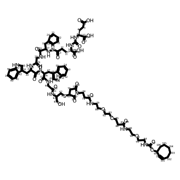 O=C(O)CC[C@H](NC(=O)N[C@@H](CCC(=O)NNC(Cc1ccccc1)C(=O)NCC(=O)NC(Cc1c[nH]c2ccccc12)C(=O)NC(Cc1c[nH]c2ccccc12)C(=O)NCC(=O)NC(CO)CSC1CC(=O)N(CCC(=O)NCCOCCOCCC(=O)NCCOCCNC(=O)OC2C#CCCCCC2)C1=O)C(=O)O)C(=O)O